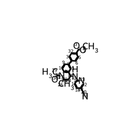 COC(=O)c1ccc(-c2ccc3c(c2)[C@H](Nc2ccc(C#N)cn2)C[C@H](C)N3C(C)=O)cc1